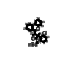 CCCCOC(=O)C(C)(c1ccccc1Cl)C(C)C(Oc1ccccc1)c1ccccc1